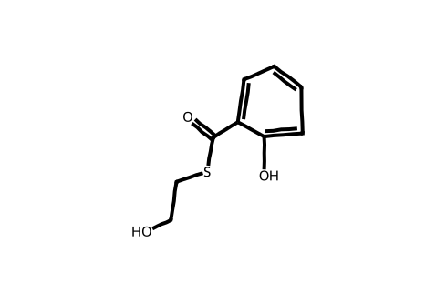 O=C(SCCO)c1ccccc1O